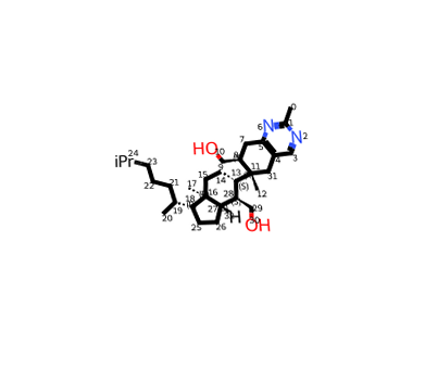 Cc1ncc2c(n1)C[C@H](CO)[C@@](C)([C@H]1CC[C@]3(C)[C@@H](C(C)CCCC(C)C)CC[C@H]3[C@@H]1CO)C2